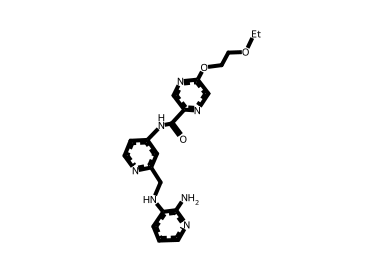 CCOCCOc1cnc(C(=O)Nc2ccnc(CNc3cccnc3N)c2)cn1